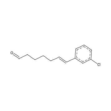 O=[C]CCCC/C=C/c1cccc(Cl)c1